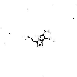 NCCc1nnc2c(N)c(N)[nH]n12